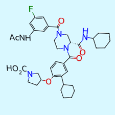 CC(=O)Nc1cc(F)cc(C(=O)N2CCN(C(=O)c3ccc(OC4CCN(C(=O)O)C4)c(C4CCCCC4)c3)[C@@H](C(=O)NC3CCCCC3)C2)c1